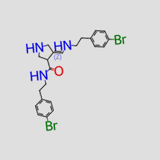 O=C(NCCc1ccc(Br)cc1)C1CNC/C1=C\NCCc1ccc(Br)cc1